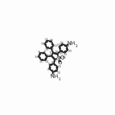 Nc1ccc(C2=C(c3ccccc3)C(c3ccccc3)=C(c3ccc(N)cc3)S2(=O)=O)cc1